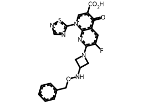 O=C(O)c1cn(-c2ncns2)c2nc(N3CC(NOCc4ccccc4)C3)c(F)cc2c1=O